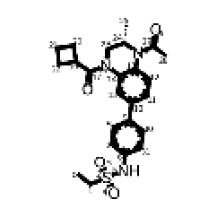 CCS(=O)(=O)Nc1ccc(-c2ccc3c(c2)N(C(=O)C2CCC2)C[C@H](C)N3C(C)=O)cc1